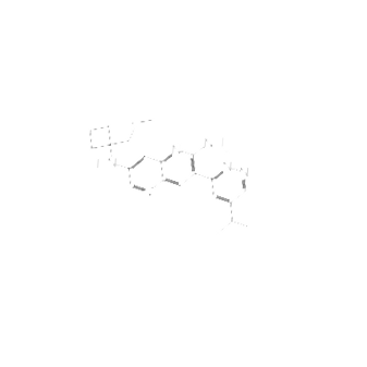 COCC1(Nc2cnc3cc(-c4cc(C(C)C)cnn4)c(N)nc3c2)CCC1